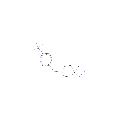 CC(F)(F)c1ccc(CN2CCC3(CC2)CNC3)cn1